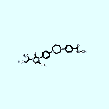 CCC(C)n1nc(C)n(-c2ccc(N3CCCN(c4ccc(C(=O)NO)cc4)CC3)cc2)c1=O